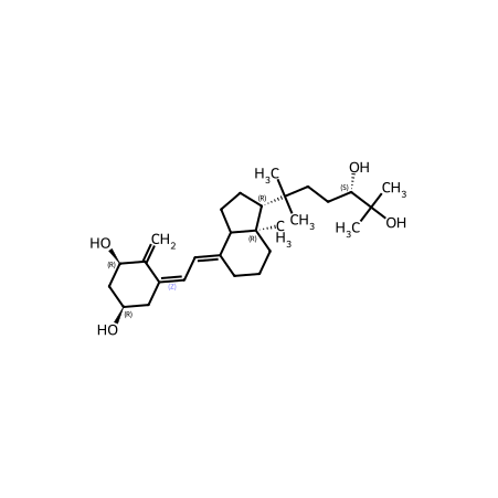 C=C1/C(=C\C=C2CCC[C@@]3(C)C2CC[C@@H]3C(C)(C)CC[C@H](O)C(C)(C)O)C[C@@H](O)C[C@H]1O